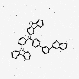 c1cc(-c2ccc(N(c3cccc(-n4c5ccccc5c5ccccc54)c3)c3ccc4oc5ccccc5c4c3)cc2)cc(-c2ccc3ccccc3c2)c1